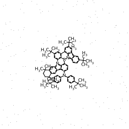 CC(C)(C)c1ccc(N(c2ccc(C(C)(C)C)cc2)c2ccc3c4c2c2cc5c(cc2n4-c2cc(C(C)(C)C)cc4c2B3n2c3ccc(C(C)(C)C)cc3c3cc(C(C)(C)C)cc-4c32)C(C)(C)CCC5(C)C)cc1